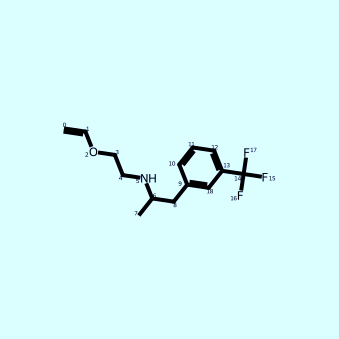 C=COCCNC(C)Cc1cccc(C(F)(F)F)c1